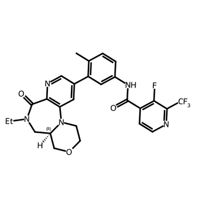 CCN1C[C@@H]2COCCN2c2cc(-c3cc(NC(=O)c4ccnc(C(F)(F)F)c4F)ccc3C)cnc2C1=O